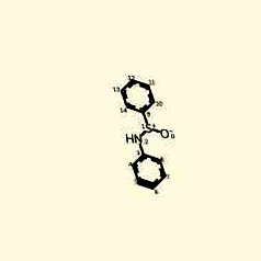 [O-][S+](Nc1cc#ccc1)c1ccccc1